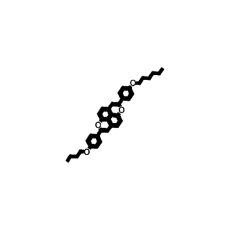 CCCCCCOc1ccc(C2=Cc3ccc4c5c(ccc(c35)O2)C=C(c2ccc(OCCCC)cc2)O4)cc1